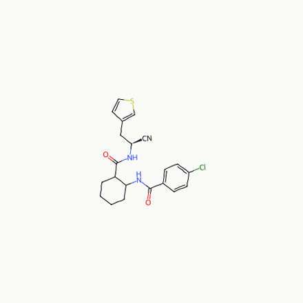 N#C[C@H](Cc1ccsc1)NC(=O)C1CCCCC1NC(=O)c1ccc(Cl)cc1